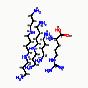 N=C(N)NCCCC(N)C(=O)O.NCCCCN.NCCCCNCCCN.NCCCNCCCCNCCCN